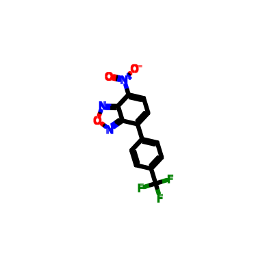 O=[N+]([O-])c1ccc(-c2ccc(C(F)(F)F)cc2)c2nonc12